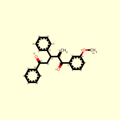 C=C(C(=O)c1cccc(OC)c1)C(CC(=O)c1ccccc1)c1ccccc1